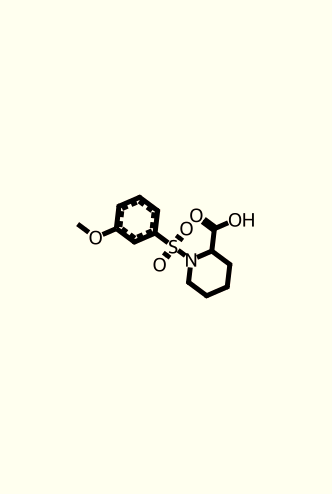 COc1cccc(S(=O)(=O)N2CCCCC2C(=O)O)c1